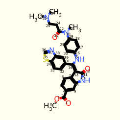 COC(=O)c1ccc2c(c1)NC(=O)/C2=C(\Nc1ccc(N(C)C(=O)CCN(C)C)cc1)c1ccc2scnc2c1